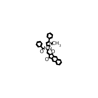 Cn1c(-c2ccccc2)cc2c1nc(C=C1C(=O)c3cc4ccccc4cc3C1=O)n2C(=O)c1ccccc1